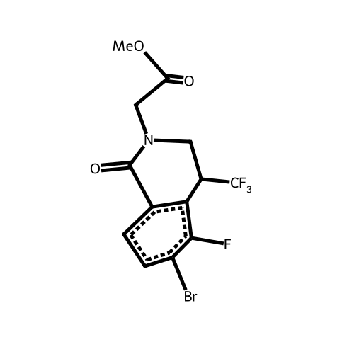 COC(=O)CN1CC(C(F)(F)F)c2c(ccc(Br)c2F)C1=O